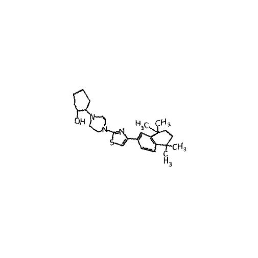 CC1(C)CCC(C)(C)c2cc(-c3csc(N4CCN(C5CCCCC5O)CC4)n3)ccc21